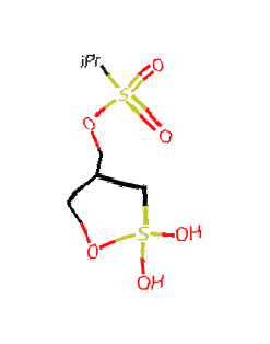 CC(C)S(=O)(=O)OC1COS(O)(O)C1